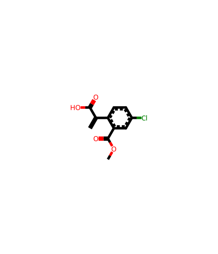 C=C(C(=O)O)c1ccc(Cl)cc1C(=O)OC